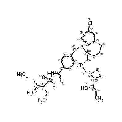 C=CC[C@H](C)[C@H](CC(F)(F)F)S(=O)(=O)NC(=O)c1ccc2c(c1)N(C[C@@H]1CC[C@H]1[C@@H](O)C=C)C[C@@]1(CCCc3cc(Cl)ccc31)CO2